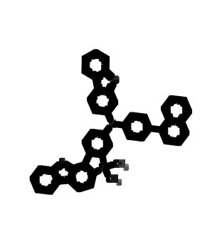 C[Si]1(C)c2cc(N(c3ccc(-c4cccc5ccccc45)cc3)c3ccc4c(c3)oc3ccccc34)ccc2-c2c1ccc1c2sc2ccccc21